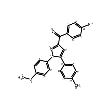 COc1ccc(-n2nc(C(=O)c3ccc(F)cc3)cc2-c2ccc(C)cc2)cc1